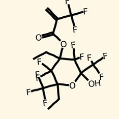 C=C(C(=O)OC1(CC)C(F)(F)C(O)(C(F)(F)F)OC(CC)(C(F)(F)F)C1(F)F)C(F)(F)F